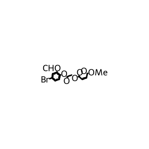 COC(=O)/C=C\C(=O)OCC(=O)Oc1ccc(Br)cc1C=O